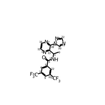 CC(NC(=O)c1cc(C(F)(F)F)cc(C(F)(F)F)c1)c1nccnc1-n1cncn1